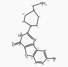 NCC1CCC(c2nc3c(oc4ccc(Br)cc43)c(=O)[nH]2)CC1